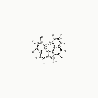 CCn1c2c(C)c(C)c3c(C)c(C)c(C)c(C)c3c2c2c3c(C)c(C)c(C)c(C)c3c(C)c(C)c21